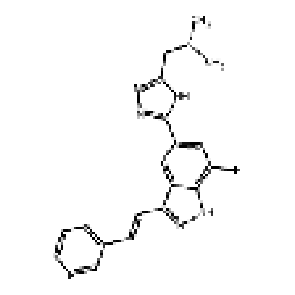 CN(C)Cc1nnc(-c2cc(F)c3[nH]nc(/C=C/c4cccnc4)c3c2)[nH]1